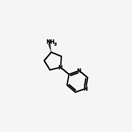 N[C@H]1CCN(c2ccncn2)C1